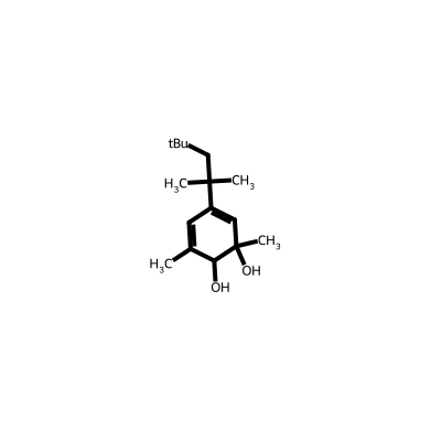 CC1=CC(C(C)(C)CC(C)(C)C)=CC(C)(O)C1O